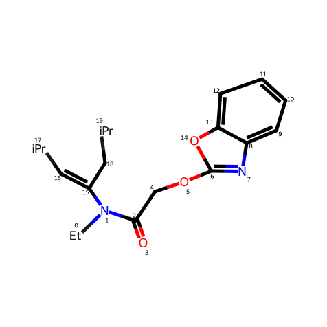 CCN(C(=O)COc1nc2ccccc2o1)C(=CC(C)C)CC(C)C